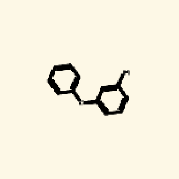 CC(C)c1cccc(Oc2ccccc2)c1